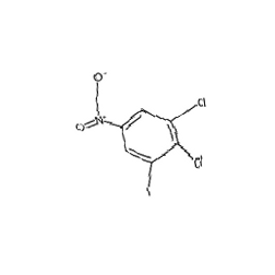 O=[N+]([O-])c1cc(Cl)c(Cl)c(I)c1